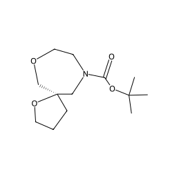 CC(C)(C)OC(=O)N1CCOC[C@@]2(CCCO2)C1